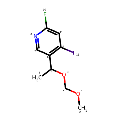 COCOC(C)c1cnc(F)cc1I